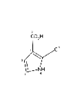 O=C(O)c1cc[nH]c1Cl